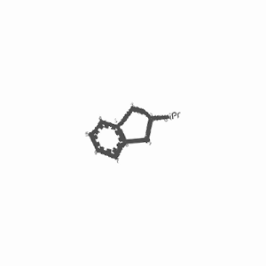 CC(C)C1[CH]c2ccccc2C1